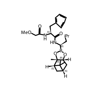 COCC(=O)N[C@@H](Cc1ccccc1)C(=O)N[C@@H](CC(C)C)B1O[C@@H]2C[C@@H]3C[C@@H](C3(C)C)[C@]2(C)O1